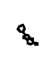 CCc1ccc2nc(-c3ccccc3)cn2n1